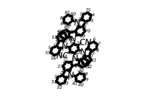 N#Cc1c(-n2c3ccccc3c3ccccc32)c(-n2c3ccccc3c3c2ccc2c4ccccc4n(-c4ccccc4)c23)c(C#N)c(-n2c3ccccc3c3ccccc32)c1-n1c2ccccc2c2c1ccc1c3ccccc3n(-c3ccccc3)c12